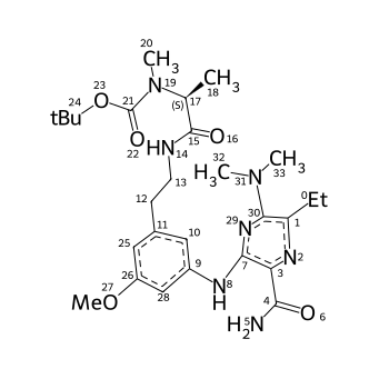 CCc1nc(C(N)=O)c(Nc2cc(CCNC(=O)[C@H](C)N(C)C(=O)OC(C)(C)C)cc(OC)c2)nc1N(C)C